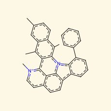 Cc1ccc2c(C)c3c(c(C)c2c1)c1c2c(ccc4c5cccc(-c6ccccc6)c5n3c42)cc[n+]1C